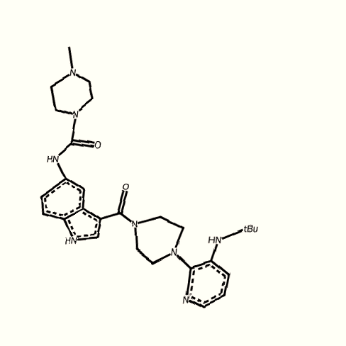 CN1CCN(C(=O)Nc2ccc3[nH]cc(C(=O)N4CCN(c5ncccc5NC(C)(C)C)CC4)c3c2)CC1